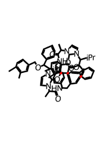 Cc1ccc(CNC(=O)C(C)N2C=CN(C(C(C)C)C(OCc3ccc(C)c(C)c3)c3ccccc3)C2OC(=O)CC(=O)OC2N(C(C)C(=O)NCc3ccc(C)cc3)C=CN2C(C(C)C)C(OCc2ccc(C)c(C)c2)c2ccccc2)cc1